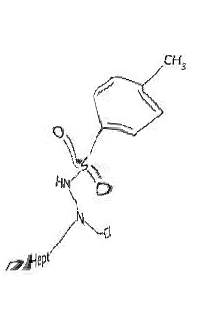 CCCCCCCN(Cl)NS(=O)(=O)c1ccc(C)cc1